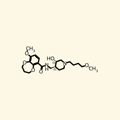 COCCCCN1CC[C@@H](CNC(=O)c2ccc(OC)c3c2OCCCO3)[C@H](O)C1